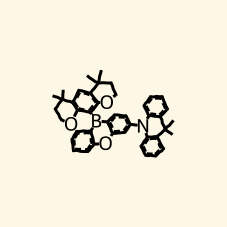 CC1(C)CCOc2c1cc1c(c2B2c3ccccc3Oc3cc(N4c5ccccc5C(C)(C)c5ccccc54)ccc32)OCCC1(C)C